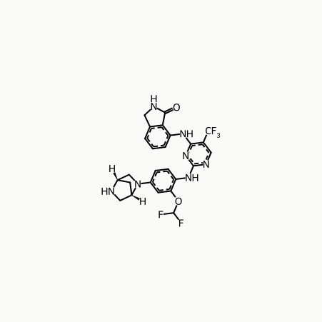 O=C1NCc2cccc(Nc3nc(Nc4ccc(N5C[C@@H]6C[C@H]5CN6)cc4OC(F)F)ncc3C(F)(F)F)c21